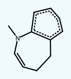 CN1C=CCCc2ccccc21